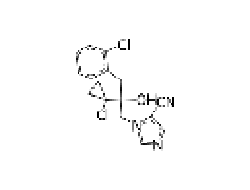 N#Cc1cncn1CC(O)(Cc1ccccc1Cl)C1(Cl)CC1